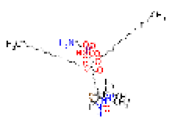 CCCCCCCCCCCCCCCC(=O)OC(C(=O)CCCC[C@@H]1SC[C@@H]2NC(=O)N([N+](CC)(CC)CC)[C@@H]21)[C@H](COP(=O)(O)OCCN)OC(=O)CCCCCCCCCCCCCCC